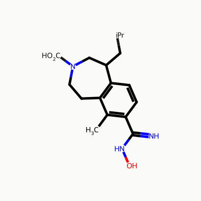 Cc1c(C(=N)NO)ccc2c1CCN(C(=O)O)CC2CC(C)C